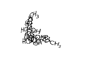 Cc1ccc2cc(COC3[C@@H](O)C(CO)O[C@@H](S[C@@H]4OC(CO)[C@H](O)C(OCc5cc6ccc(C)cc6oc5=O)[C@@H]4O)[C@@H]3O)c(=O)oc2c1